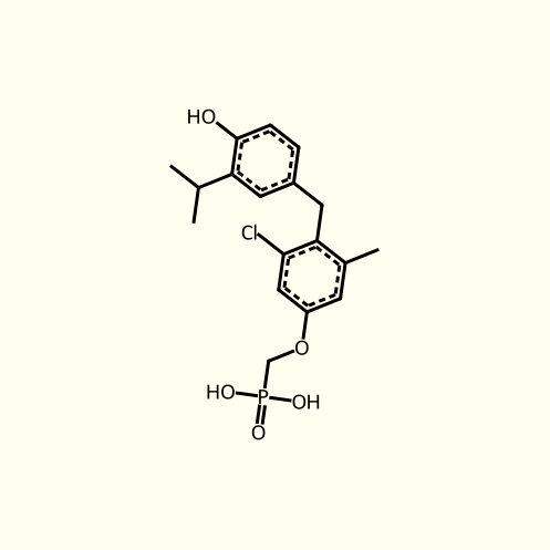 Cc1cc(OCP(=O)(O)O)cc(Cl)c1Cc1ccc(O)c(C(C)C)c1